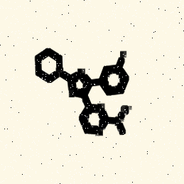 C[S+]([O-])c1nccc(-c2sc(N3CCCCC3)nc2-c2cccc(F)c2)n1